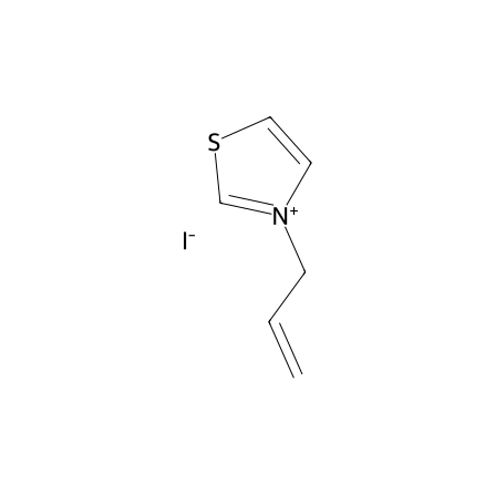 C=CC[n+]1ccsc1.[I-]